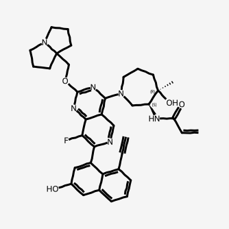 C#Cc1cccc2cc(O)cc(-c3ncc4c(N5CCC[C@@](C)(O)[C@@H](NC(=O)C=C)C5)nc(OCC56CCCN5CCC6)nc4c3F)c12